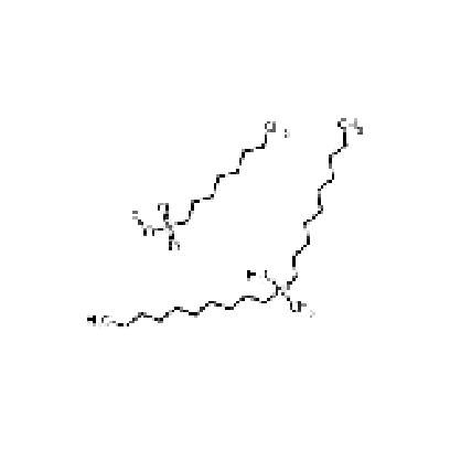 CCCCCCCCCC[N+](C)(C)CCCCCCCCCC.CCCCCCCCS(=O)(=O)OF